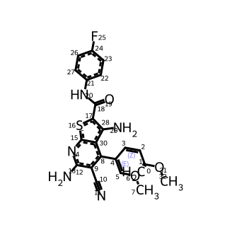 C=C(/C=C\C(=C/OC)c1c(C#N)c(N)nc2sc(C(=O)Nc3ccc(F)cc3)c(N)c12)OC